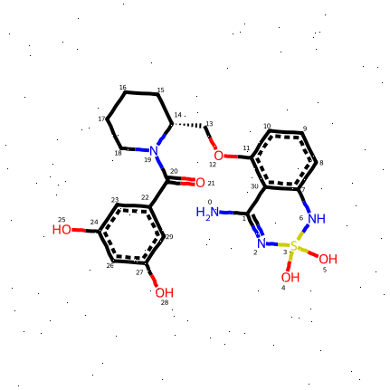 NC1=NS(O)(O)Nc2cccc(OC[C@H]3CCCCN3C(=O)c3cc(O)cc(O)c3)c21